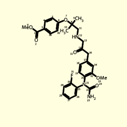 COC(=O)c1ccc(OC(C)(C)CNCC(=O)Cc2ccc(N(C(N)=O)c3ccccc3F)c(OC)c2)cc1